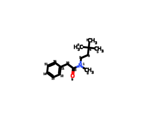 CN(CCC(C)(C)C)C(=O)Cc1ccccc1